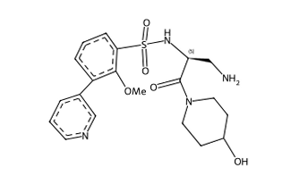 COc1c(-c2cccnc2)cccc1S(=O)(=O)N[C@@H](CN)C(=O)N1CCC(O)CC1